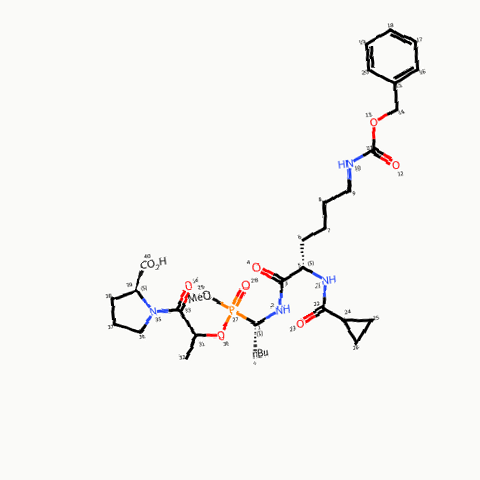 CCCC[C@@H](NC(=O)[C@H](CCCCNC(=O)OCc1ccccc1)NC(=O)C1CC1)P(=O)(OC)OC(C)C(=O)N1CCC[C@H]1C(=O)O